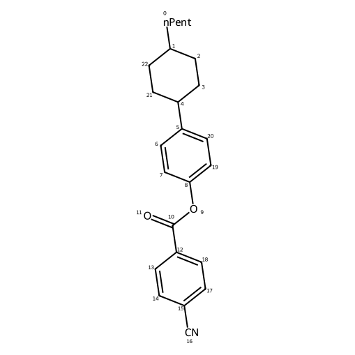 CCCCCC1CCC(c2ccc(OC(=O)c3ccc(C#N)cc3)cc2)CC1